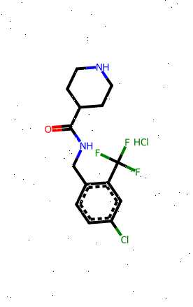 Cl.O=C(NCc1ccc(Cl)cc1C(F)(F)F)C1CCNCC1